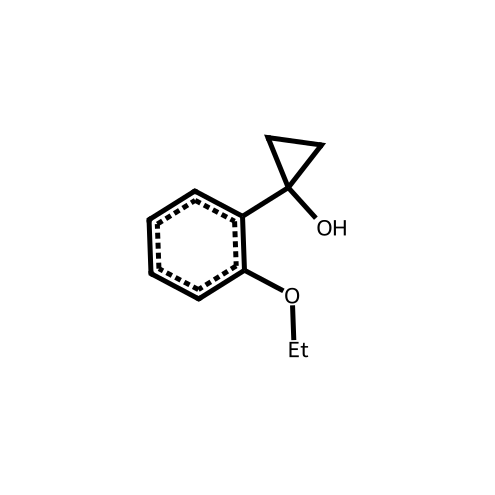 CCOc1ccccc1C1(O)CC1